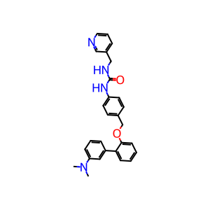 CN(C)c1cccc(-c2ccccc2OCc2ccc(NC(=O)NCc3cccnc3)cc2)c1